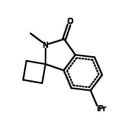 CC(C)c1ccc2c(c1)C1(CCC1)N(C)C2=O